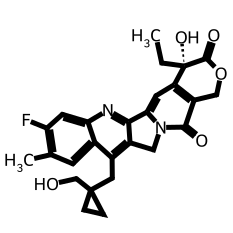 CC[C@@]1(O)C(=O)OCc2c1cc1n(c2=O)Cc2c-1nc1cc(F)c(C)cc1c2CC1(CO)CC1